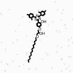 CCCCCCCCCCCCCCOCC(O)COc1ccc(-c2nc(-c3ccc(C)cc3C)nc(-c3ccc(C)cc3C)n2)c(O)c1